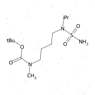 CC(C)N(CCCCN(C)C(=O)OC(C)(C)C)S(N)(=O)=O